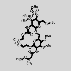 C=CCOC1OC(COC2OC(COCCCC)C(OP(=O)(OCCCC)OCCCC)C(OCCCC)C2NC(=O)OCC(Cl)(Cl)Cl)C(OCCCC)C(OCCCC)C1NC(=O)C[C@@H](C)OCCCC